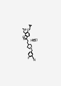 CN(C)Cc1c(OCC2CC2)ccc2c(CCC3CCN(Cc4ccc(F)c(C#N)c4)CC3)noc12.Cl.Cl